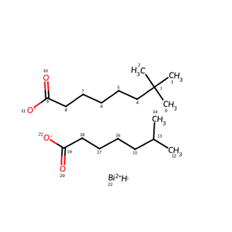 CC(C)(C)CCCCCC(=O)[O-].CC(C)CCCCC(=O)[O-].[BiH+2]